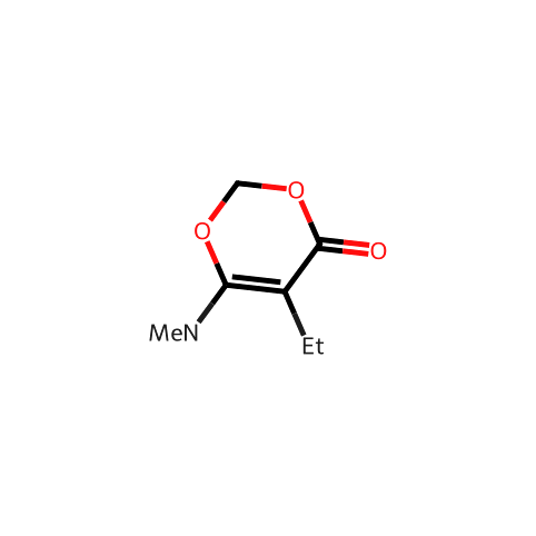 CCC1=C(NC)OCOC1=O